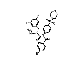 CN[C@H](Cc1cc(F)cc(F)c1)c1nc2cc(Br)ccc2c(=O)n1-c1ccc(S(=O)(=O)N2CCOCC2)cc1